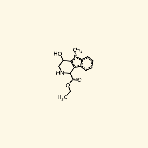 CCOC(=O)C1NCC(O)c2c1c1ccccc1n2C